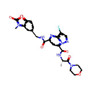 C[C@H](NC(=O)c1cc(C(=O)NCc2ccc3oc(=O)n(C)c3c2)nc2c(F)cnn12)C(=O)N1CCOCC1